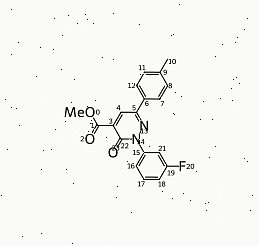 COC(=O)c1cc(-c2ccc(C)cc2)nn(-c2cccc(F)c2)c1=O